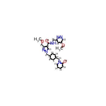 COCc1nn(Cc2ccc(Cn3ccccc3=O)cc2)cc1C(=O)NCc1cc(OC)cnn1